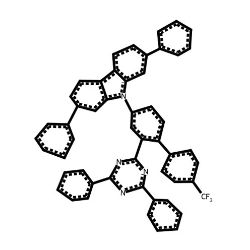 FC(F)(F)c1ccc(-c2ccc(-n3c4cc(-c5ccccc5)ccc4c4ccc(-c5ccccc5)cc43)cc2-c2nc(-c3ccccc3)nc(-c3ccccc3)n2)cc1